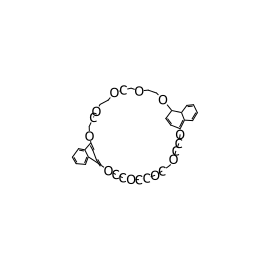 C1=CC2=C3C=CC(OCCOCCOCCOCCOc4ccc(c5ccccc45)OCCOCCOCCOCCO3)C2C=C1